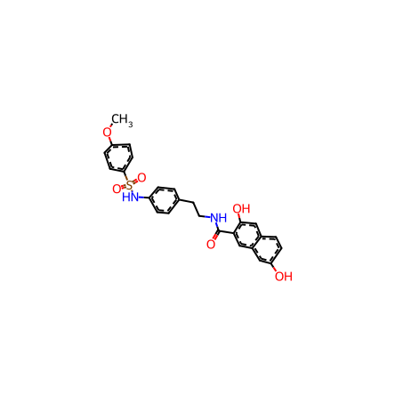 COc1ccc(S(=O)(=O)Nc2ccc(CCNC(=O)c3cc4cc(O)ccc4cc3O)cc2)cc1